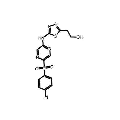 O=S(=O)(c1ccc(Cl)cc1)c1cnc(Nc2nnc(CCO)s2)cn1